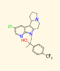 CC(O)(Cn1c2c(c3cc(Cl)cnc31)C1CCCN1CC2)c1ccc(C(F)(F)F)cc1